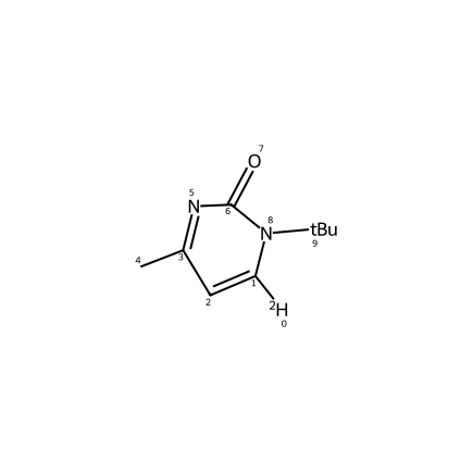 [2H]c1cc(C)nc(=O)n1C(C)(C)C